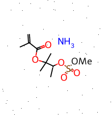 C=C(C)C(=O)OC(C)(C)C(C)OS(=O)(=O)OC.N